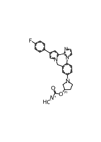 C#[N+]C(=O)O[C@@H]1CCN(c2ccc3c(c2)Cn2cc(-c4ccc(F)cc4)cc2-c2nccn2-3)C1